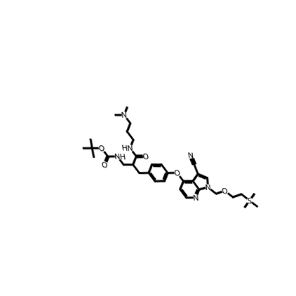 CN(C)CCCNC(=O)C(CNC(=O)OC(C)(C)C)Cc1ccc(Oc2ccnc3c2c(C#N)cn3COCCS(C)(C)C)cc1